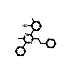 Cc1nc(-c2cccc(F)c2O)c(CCc2ccccc2)nc1-c1ccccc1